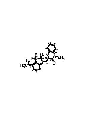 C[C@H](O)c1cccc2c1C(F)(F)C(=O)N2Cc1nc2ccccc2n(C)c1=O